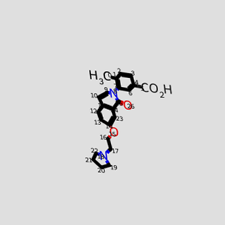 Cc1ccc(C(=O)O)cc1-n1ccc2ccc(OCCN3CCCC3)cc2c1=O